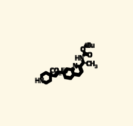 CCOC(=O)C1(/C=C/c2ccc3ccc([C@@H](C)NC(=O)OC(C)(C)C)nc3c2)CCNCC1